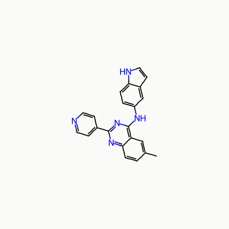 Cc1ccc2nc(-c3ccncc3)nc(Nc3ccc4[nH]ccc4c3)c2c1